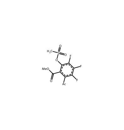 COC(=O)c1c(OS(C)(=O)=O)c(F)c(F)c(F)c1C(C)=O